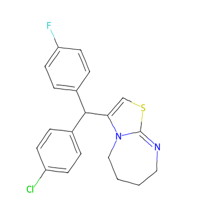 Fc1ccc(C(C2=CSC3=NCCCCN23)c2ccc(Cl)cc2)cc1